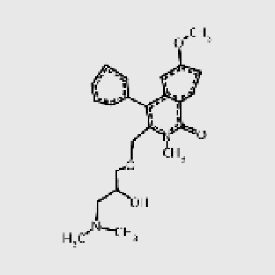 COc1ccc2c(=O)n(C)c(COCC(O)CN(C)C)c(-c3ccccc3)c2c1